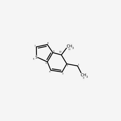 CCC1C=Cc2sccc2C1C